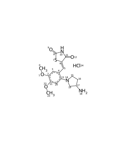 COc1cc(/C=C2\SC(=O)NC2=O)c(N2CCC(N)C2)cc1OC.Cl